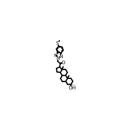 CSc1ccc2nn(CC(=O)C3CCC4C5CCC6C[C@](C)(O)CCC6(C)C5CCC34C)nc2c1